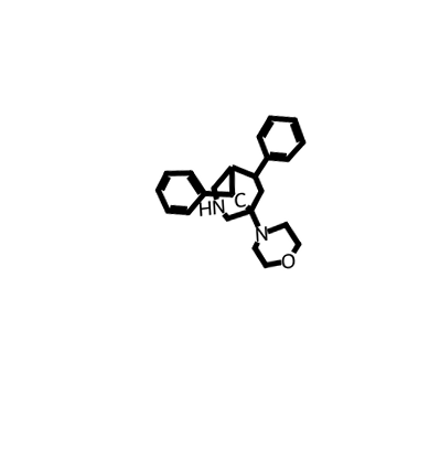 c1ccc(C2CC3(N4CCOCC4)CNCC2C(c2ccccc2)C3)cc1